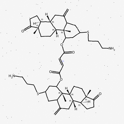 C=C1C[C@@H]2[C@@H](CC[C@]3(C)C(=O)CC[C@@H]23)[C@@]2(C)C(OC(=O)/C=C/C(=O)OC3CC(SCCCN)CC4C(=C)C[C@@H]5[C@@H](CC[C@]6(C)C(=O)CC[C@@H]56)[C@@]34C)CC(SCCCN)CC12